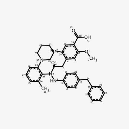 COc1cc(CC(=O)N(Nc2ccc(Cc3ccccc3)cc2)c2c(C)cccc2N2CCCCC2)c(Br)cc1C(=O)O